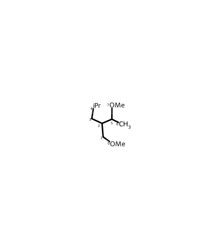 COCC(CC(C)C)C(C)OC